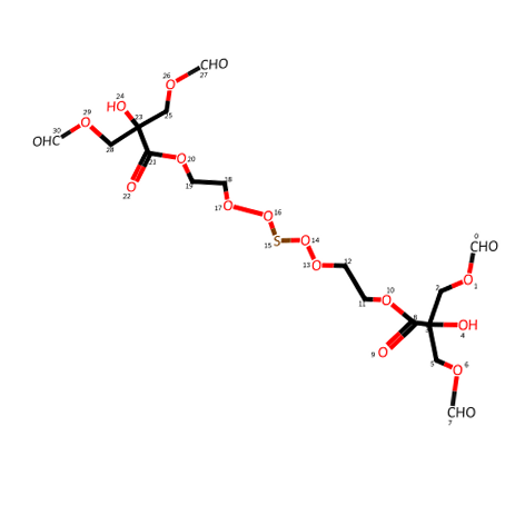 O=COCC(O)(COC=O)C(=O)OCCOOSOOCCOC(=O)C(O)(COC=O)COC=O